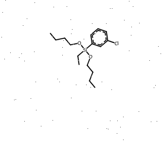 CCCCO[Si](CC)(OCCCC)c1cccc(Cl)c1